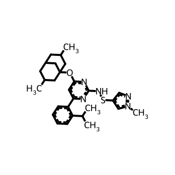 CC1CC2CC(C)CC(Oc3cc(-c4ccccc4C(C)C)nc(NSc4cnn(C)c4)n3)(C1)C2